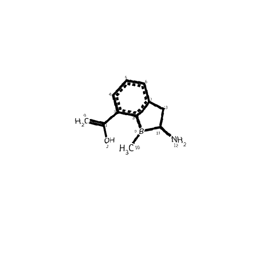 C=C(O)c1cccc2c1B(C)C(N)C2